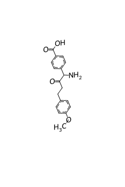 COc1ccc(CCC(=O)C(N)c2ccc(C(=O)O)cc2)cc1